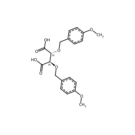 COc1ccc(CO[C@@H](C(=O)O)[C@@H](OCc2ccc(OC)cc2)C(=O)O)cc1